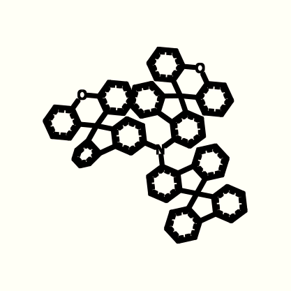 c1ccc2c(c1)Oc1ccccc1C21c2ccccc2-c2cc(N(c3cccc4c3-c3ccccc3C43c4ccccc4Oc4ccccc43)c3cccc4c3-c3ccccc3C43c4ccccc4-c4ccccc43)ccc21